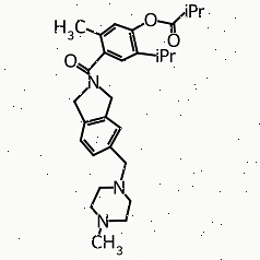 Cc1cc(OC(=O)C(C)C)c(C(C)C)cc1C(=O)N1Cc2ccc(CN3CCN(C)CC3)cc2C1